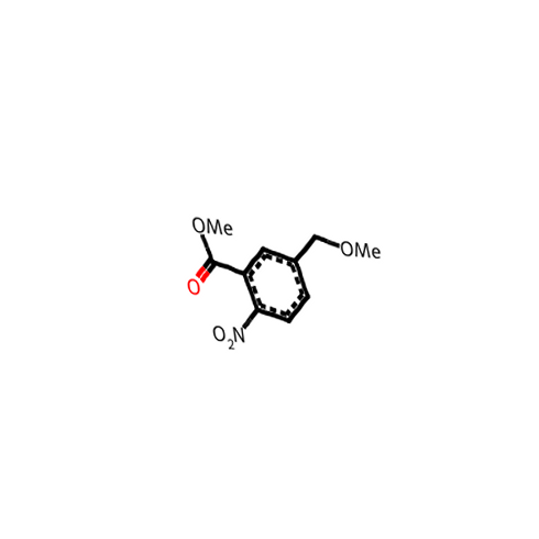 COCc1ccc([N+](=O)[O-])c(C(=O)OC)c1